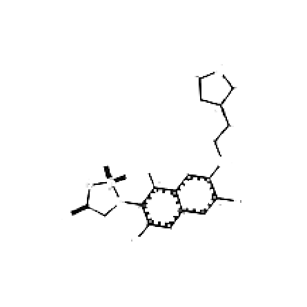 O=C1CN(c2c(O)cc3cc(O)c(OCCC4CCOC4)cc3c2F)S(=O)(=O)N1